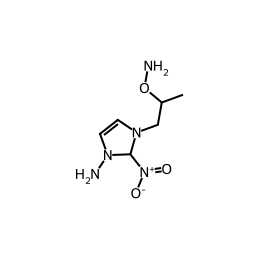 CC(CN1C=CN(N)C1[N+](=O)[O-])ON